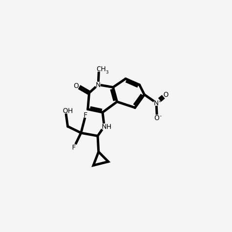 Cn1c(=O)cc(NC(C2CC2)C(F)(F)CO)c2cc([N+](=O)[O-])ccc21